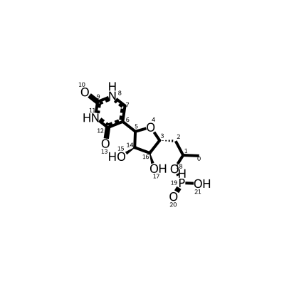 CC(C[C@H]1OC(c2c[nH]c(=O)[nH]c2=O)[C@H](O)[C@@H]1O)O[PH](=O)O